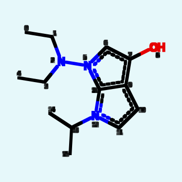 CCN(CC)n1cc(O)c2ccn(C(C)C)c21